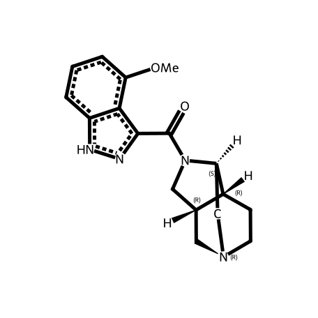 COc1cccc2[nH]nc(C(=O)N3C[C@H]4C[N@]5CC[C@H]4[C@H]3C5)c12